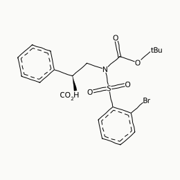 CC(C)(C)OC(=O)N(C[C@@H](C(=O)O)c1ccccc1)S(=O)(=O)c1ccccc1Br